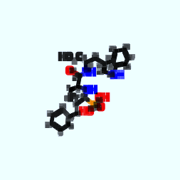 CC(C)C[C@H](NC(CCc1ccccc1)P(=O)(O)O)C(=O)N[C@@H](Cc1c[nH]c2ccccc12)C(=O)O